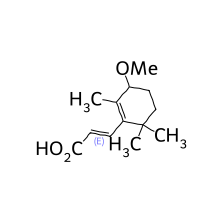 COC1CCC(C)(C)C(/C=C/C(=O)O)=C1C